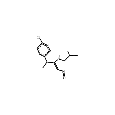 CC(C)CN/C(=C\N=O)C(C)c1ccc(Cl)nc1